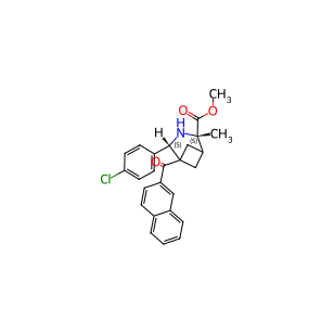 COC(=O)[C@@]1(C)N[C@@H](c2ccc(Cl)cc2)C2(C(=O)c3ccc4ccccc4c3)CC1C2